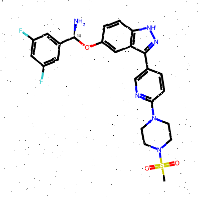 CS(=O)(=O)N1CCN(c2ccc(-c3n[nH]c4ccc(O[C@H](N)c5cc(F)cc(F)c5)cc34)cn2)CC1